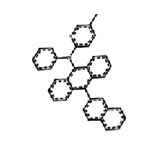 Cc1ccc(N(c2ccccc2)c2c3ccccc3c(-c3ccc4ccccc4c3)c3ccccc23)nc1